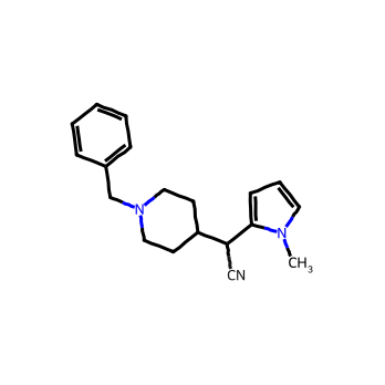 Cn1cccc1C(C#N)C1CCN(Cc2ccccc2)CC1